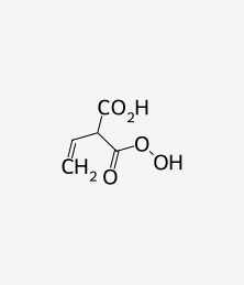 C=CC(C(=O)O)C(=O)OO